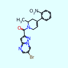 CC1CC(c2ccccc2[N+](=O)[O-])=CCN1C(=O)c1cc2ncc(Br)cn2n1